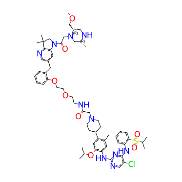 COC[C@H]1CN[C@H](C)CN1CC(=O)N1CC(C)(C)c2ncc(Cc3ccccc3OCCOCCNC(=O)CN3CCC(c4cc(OC(C)C)c(Nc5ncc(Cl)c(Nc6ccccc6S(=O)(=O)C(C)C)n5)cc4C)CC3)cc21